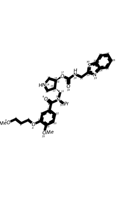 COCCCOc1cc(C(=O)N(C[C@@H]2CNC[C@H]2OC(=O)NCc2nc3ccccc3s2)C(C)C)ccc1OC